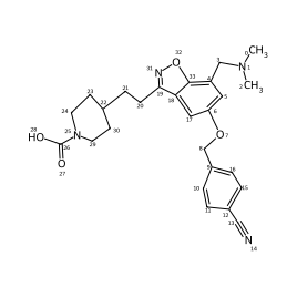 CN(C)Cc1cc(OCc2ccc(C#N)cc2)cc2c(CCC3CCN(C(=O)O)CC3)noc12